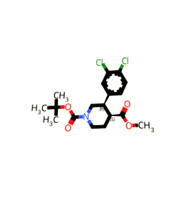 COC(=O)[C@H]1CCN(C(=O)OC(C)(C)C)C[C@H]1c1ccc(Cl)c(Cl)c1